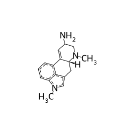 CN1CC(N)C=C2c3cccc4c3c(cn4C)C[C@H]21